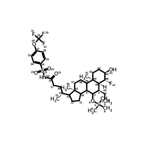 CC[C@H]1C(O[Si](C)(C)C)C2C3CCC([C@H](C)CCC(=O)NS(=O)(=O)c4ccc(OC(F)(F)F)cc4)[C@@]3(C)CCC2[C@@]2(C)CC[C@@H](O)[C@H](F)[C@@H]12